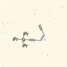 C#C/C=C\C#C[Si](C(C)C)(C(C)C)C(C)C